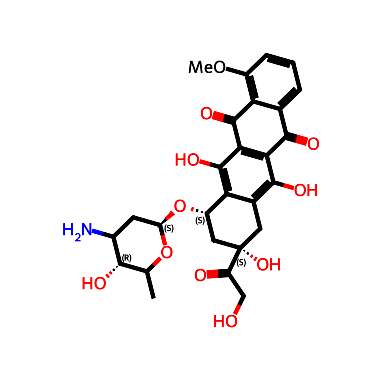 COc1cccc2c1C(=O)c1c(O)c3c(c(O)c1C2=O)C[C@@](O)(C(=O)CO)C[C@@H]3O[C@@H]1CC(N)[C@@H](O)C(C)O1